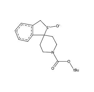 CC(C)(C)OC(=O)N1CCC2(CC1)c1ccccc1C[S+]2[O-]